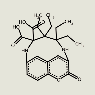 CCC1(CC)Nc2cc3cc(ccc3oc2=O)NC(C(=O)O)(C(=O)O)C1(CC)CC